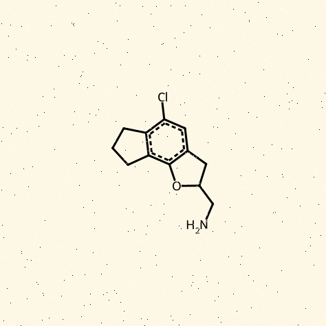 NCC1Cc2cc(Cl)c3c(c2O1)CCC3